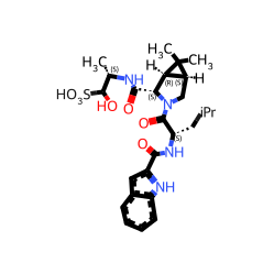 CC(C)C[C@H](NC(=O)c1cc2ccccc2[nH]1)C(=O)N1C[C@H]2[C@@H]([C@H]1C(=O)N[C@@H](C)C(O)S(=O)(=O)O)C2(C)C